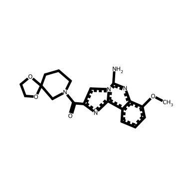 COc1cccc2c1nc(N)n1cc(C(=O)N3CCCC4(C3)OCCO4)nc21